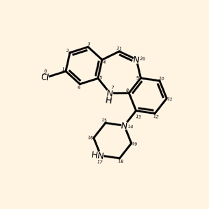 Clc1ccc2c(c1)Nc1c(cccc1N1CCNCC1)N=C2